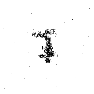 C=C(CCC1=C(CN2CCN(c3ccc(C(=O)NS(=O)(=O)c4ccc(N[C@H](CCN5CCOCC5)CSc5ccccc5)c(S(=O)(=O)C(F)(F)F)c4)cc3)CC2)CCC(C)(C)C1)C(F)(F)F